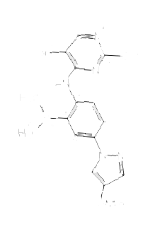 COc1cnn(-c2ccc(Nc3nc(Cl)ncc3Br)c(P(C)C)c2)c1